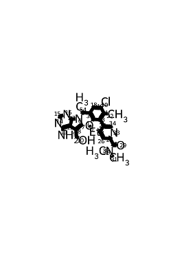 CCOc1c(C(C)n2cc(CO)c3c(N)ncnc32)cc(Cl)c(C)c1-c1ccc(C(=O)N(C)C)nc1